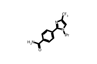 CC(C)n1cc(C(F)(F)F)nc1-c1ccc(C(N)=O)cc1